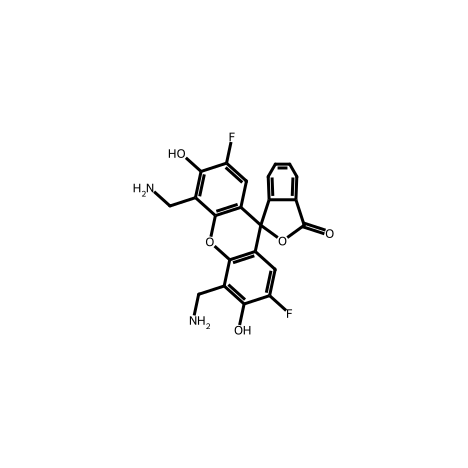 NCc1c(O)c(F)cc2c1Oc1c(cc(F)c(O)c1CN)C21OC(=O)c2ccccc21